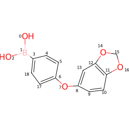 OB(O)c1ccc(Oc2ccc3c(c2)OCO3)cc1